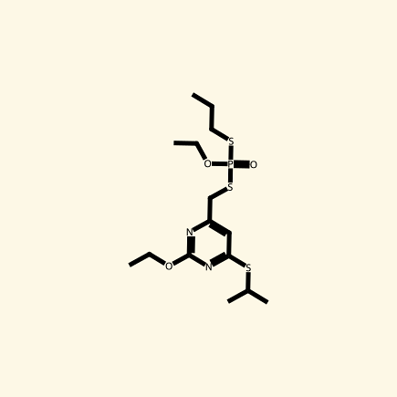 CCCSP(=O)(OCC)SCc1cc(SC(C)C)nc(OCC)n1